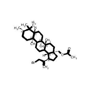 C=C(CBr)[C@@H]1CC[C@]2(COC(C)=O)CC[C@]3(C)C(CCC4[C@@]5(C)CC[C@H](C)C(C)(C)[C@@H]5CC[C@]43C)[C@@H]12